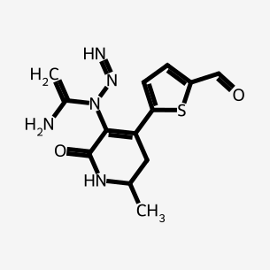 C=C(N)N(N=N)C1=C(c2ccc(C=O)s2)CC(C)NC1=O